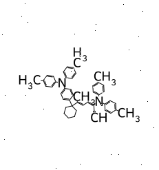 C#C/C(=C\C=C(/C)C1(c2ccc(N(c3ccc(C)cc3)c3ccc(C)cc3)cc2)CCCCC1)N(c1ccc(C)cc1)c1ccc(C)cc1